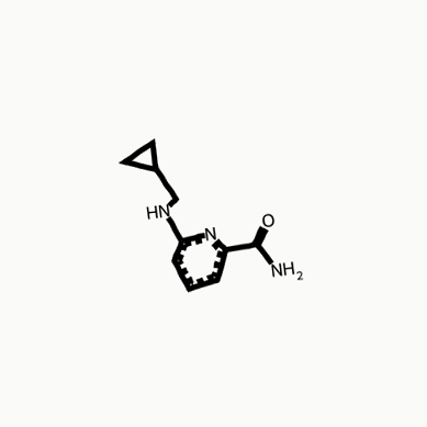 NC(=O)c1cccc(NCC2CC2)n1